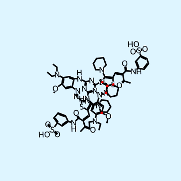 CCN(CC)c1cc(Nc2nc(Nc3cc(N(CC)CC)c(OC)cc3/N=N/c3nc(N4CCCCC4)c(/C=C(\C(C)=O)C(=O)Nc4cccc(S(=O)(=O)O)c4)s3)nc(SC3CCCCC3)n2)c(/N=N/c2nc(N3CCCCC3)c(/C=C(/C(C)=O)C(=O)Nc3cccc(S(=O)(=O)O)c3)s2)cc1OC